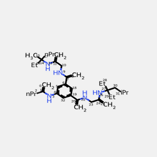 C=C(CCC)Nc1cc(C(=C)NCC(=C)NC(C)(CC)CCC)cc(C(=C)NCC(=C)NC(CC)(CC)CC(C)C)c1